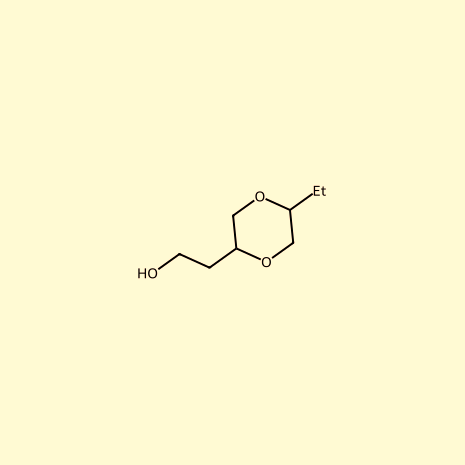 CCC1COC(CCO)CO1